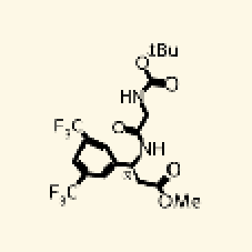 COC(=O)C[C@H](NC(=O)CNC(=O)OC(C)(C)C)c1cc(C(F)(F)F)cc(C(F)(F)F)c1